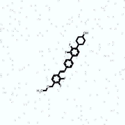 CCOCc1ccc(/C=C/c2ccc(-c3ccc(C4CCC(O)CC4)c(F)c3F)cc2)c(F)c1F